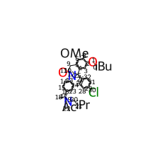 CCC(C)Oc1cc2c(cc1OC)CC(=O)N(c1ccc(C(C)N(CC(C)C)C(C)=O)cc1)C2c1ccc(Cl)cc1